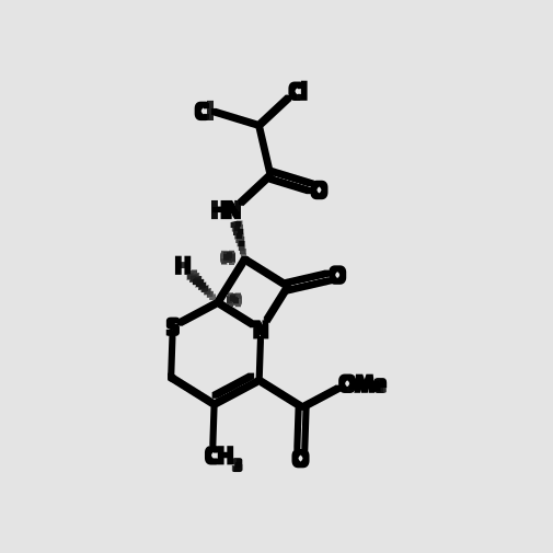 COC(=O)C1=C(C)CS[C@H]2[C@H](NC(=O)C(Cl)Cl)C(=O)N12